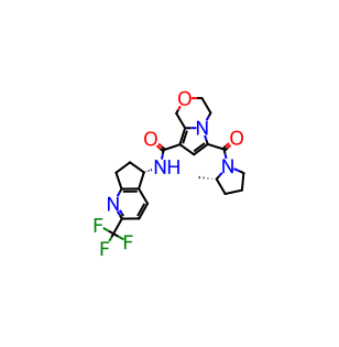 C[C@H]1CCCN1C(=O)c1cc(C(=O)N[C@H]2CCc3nc(C(F)(F)F)ccc32)c2n1CCOC2